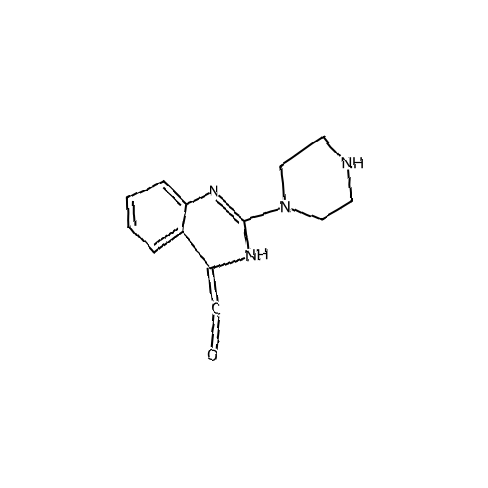 O=C=C1NC(N2CCNCC2)=Nc2ccccc21